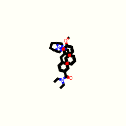 CCN(CC)C(=O)c1ccc(Cc2cccc(OC)c2N2C3CCC2CN(Cc2ccccc2)C3)cc1